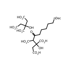 CCCCCCCCCCCCCCCC(=O)C(C(=O)O)C(O)(CC(=O)O)C(=O)O.O=C(O)CC(O)(CC(=O)O)C(=O)O